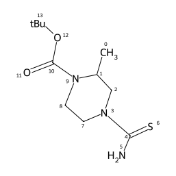 CC1CN(C(N)=S)CCN1C(=O)OC(C)(C)C